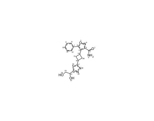 NC(=O)c1noc(-c2ccccc2)c1C1CC(c2nnc(C(O)CO)s2)C1